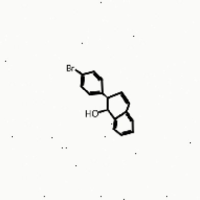 OC1c2ccccc2C=C[C@@H]1c1ccc(Br)cc1